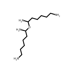 NCCCCCC(N)OC(N)CCCCCN